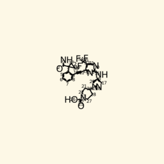 NC(=O)C1(c2ccccc2C#Cc2nc(Nc3cnn(C4CCN(C(=O)O)CC4)c3)ncc2C(F)(F)F)CC1